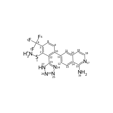 NSc1c(C(F)(F)F)ccc(-c2ccc3c(N)nccc3c2)c1-c1nnn[nH]1